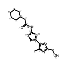 Cc1nc(CO)sc1-c1csc(NC(=O)CC2CCCCC2)n1